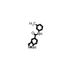 Cc1cccc(NC(=O)c2ccc3[nH]ncc3c2)c1